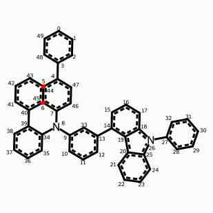 c1ccc(-c2ccc(N(c3cccc(-c4cccc5c4c4ccccc4n5-c4ccccc4)c3)c3ccccc3-c3ccccc3)cc2)cc1